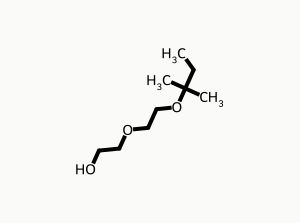 CCC(C)(C)OCCOCCO